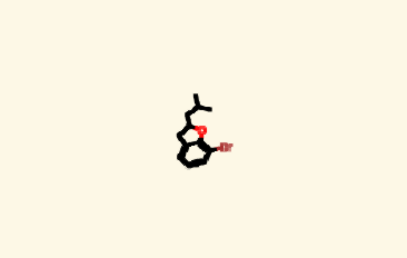 CC(C)CC1Cc2cccc(Br)c2O1